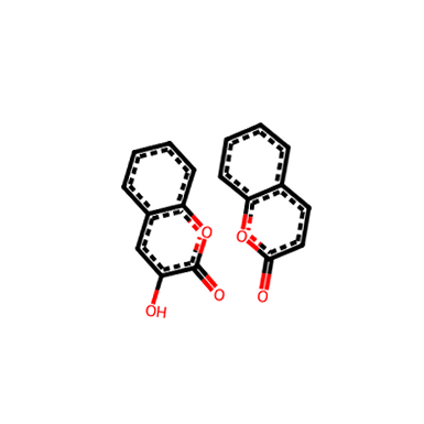 O=c1ccc2ccccc2o1.O=c1oc2ccccc2cc1O